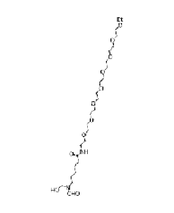 CCOCCOCCOCCOCCOCCOCCOCCOCCNC(=O)CCCCCN(C=O)CO